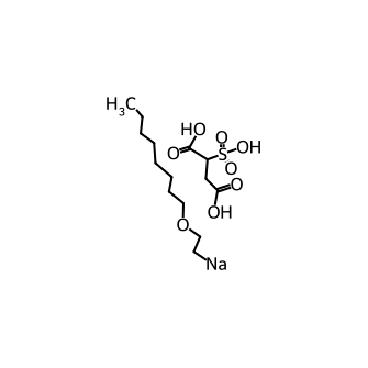 CCCCCCCCOC[CH2][Na].O=C(O)CC(C(=O)O)S(=O)(=O)O